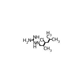 CC(C)=C/C(Cl)=C(C)/C=N/NC(=N)N